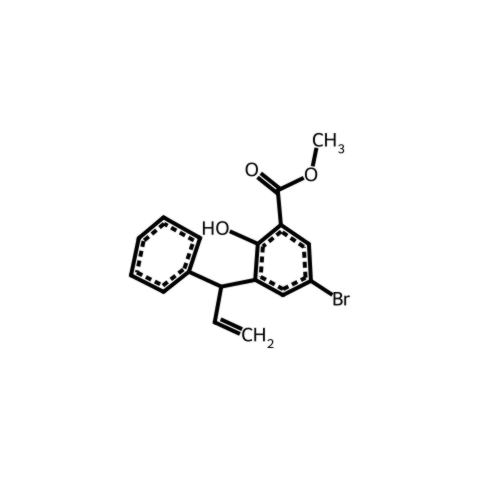 C=CC(c1ccccc1)c1cc(Br)cc(C(=O)OC)c1O